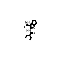 CCC(CC)C(=O)Nc1sc2c(c1C(N)=O)CCC2